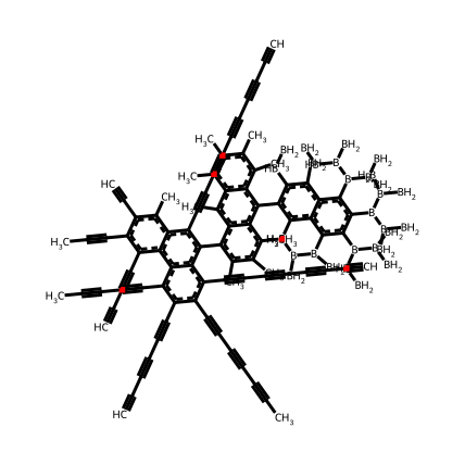 BBB(B)B(B(B)B)c1c(B(B(B)B)B(B)B)c(B(BB)B(B)B)c(B(B)B(B)B)c2c(C)c(-c3c4c(C)c(C)c(C)c(C)c4c(C)c4c(-c5c(C#CC#CC#CC#CC#C)c6c(C)c(C#C)c(C#CC)c(C#CC#C)c6c6c(C#CC#CC)c(C#CC#CC#C)c(C#CC#CC#CC)c(C#CC#CC#CC#C)c56)c(C)c(C)c(C)c34)c(BB)c(B)c12